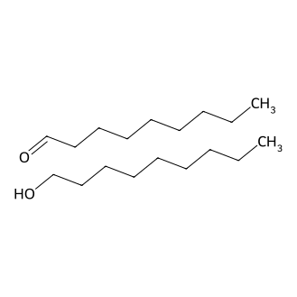 CCCCCCCCC=O.CCCCCCCCCO